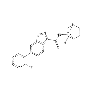 O=C(N[C@H]1CN2CCC1CC2)c1nsc2cc(-c3ccccc3F)ccc12